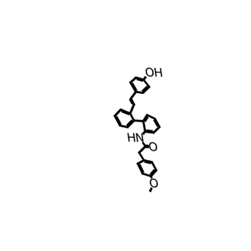 COc1ccc(CC(=O)Nc2ccccc2-c2ccccc2/C=C/c2ccc(O)cc2)cc1